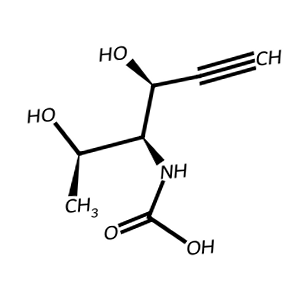 C#C[C@H](O)[C@@H](NC(=O)O)[C@@H](C)O